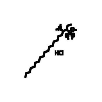 CCCCCCCCCCCCCCCCCC(C(CC)[Si](OC)(OC)OC)N(C)C.Cl